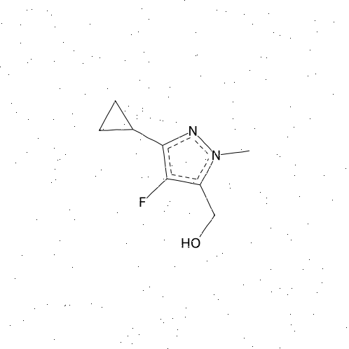 Cn1nc(C2CC2)c(F)c1CO